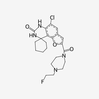 O=C1Nc2c(Cl)cc3cc(C(=O)N4CCN(CCF)CC4)oc3c2C2(CCCCC2)N1